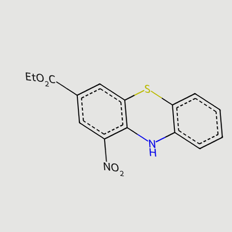 CCOC(=O)c1cc2c(c([N+](=O)[O-])c1)Nc1ccccc1S2